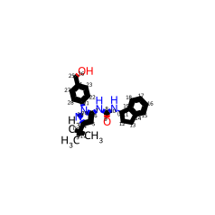 CC(C)(C)c1cc(NC(=O)N[C@H]2CCc3ccccc32)n(-c2ccc(CO)cc2)n1